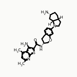 Cc1cc(C)c2c(N)c(C(=O)N[C@H]3COc4cc(N5CC[C@H]6CC[C@@H](N)C[C@H]65)ccc4C3)sc2n1